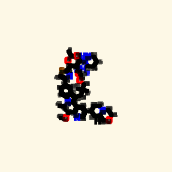 CCO[C@H](c1nc(-c2ccc3c(c2)c(CC(C)(C)COC=O)c(-c2cc([C@H]4CCN5CCOC[C@@H]5C4)cnc2[C@H](C)OC)n3CC)cs1)[C@H](N)C(=O)N1CCCCN1